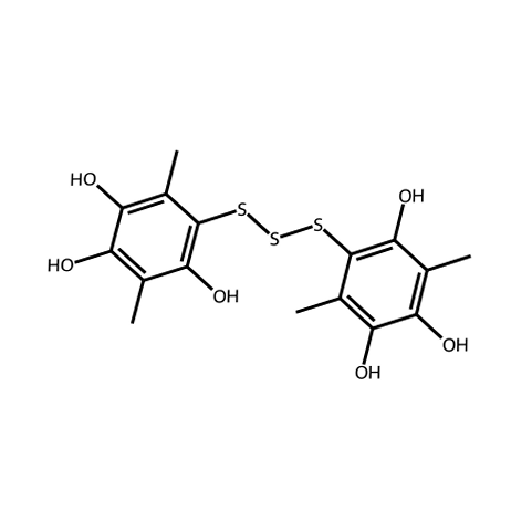 Cc1c(O)c(O)c(C)c(SSSc2c(C)c(O)c(O)c(C)c2O)c1O